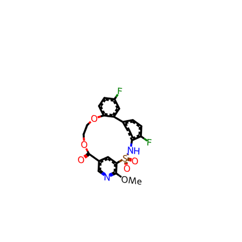 COc1ncc2cc1S(=O)(=O)Nc1cc(ccc1F)-c1cc(F)ccc1OCCOC2=O